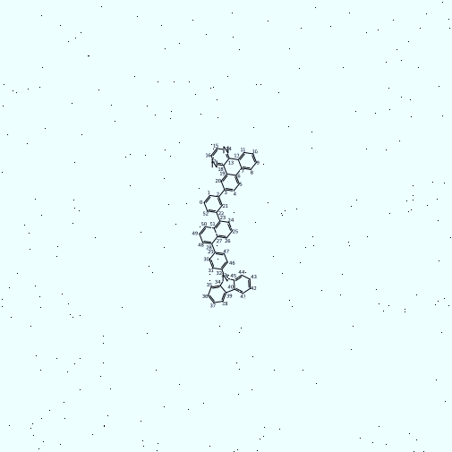 c1cc(-c2ccc3c4ccccc4c4nccnc4c3c2)cc(-c2cccc3c(-c4ccc(-n5c6ccccc6c6ccccc65)cc4)cccc23)c1